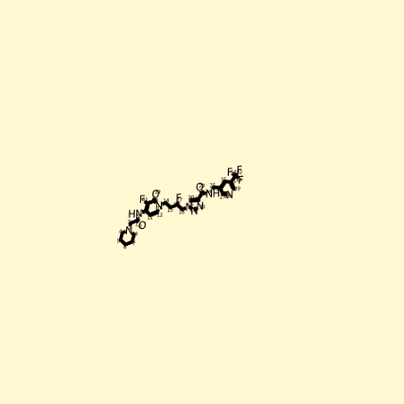 O=C(CN1CCCCC1)Nc1ccn(CCC(F)Cn2cc(C(=O)NCc3cncc(C(F)(F)F)c3)nn2)c(=O)c1F